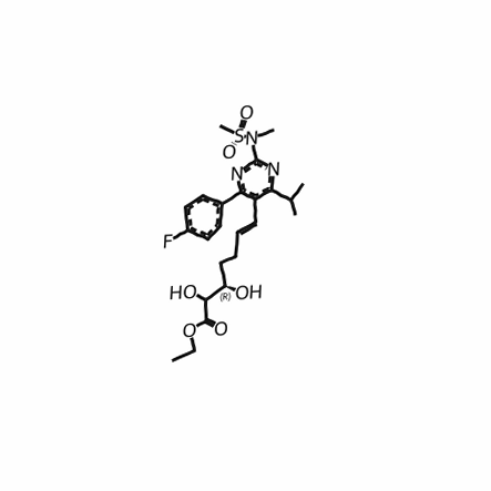 CCOC(=O)C(O)[C@H](O)CCC=Cc1c(-c2ccc(F)cc2)nc(N(C)S(C)(=O)=O)nc1C(C)C